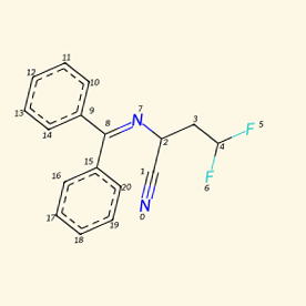 N#CC(CC(F)F)N=C(c1ccccc1)c1ccccc1